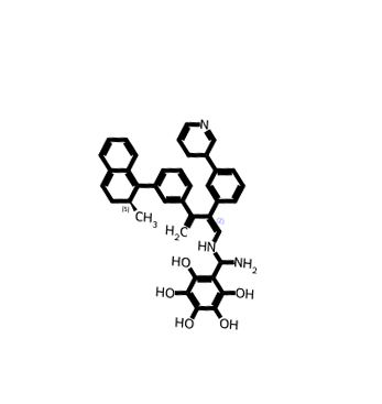 C=C(/C(=C\NC(N)c1c(O)c(O)c(O)c(O)c1O)c1cccc(C2C=NC=CC2)c1)c1cccc(C2=c3ccccc3=CC[C@@H]2C)c1